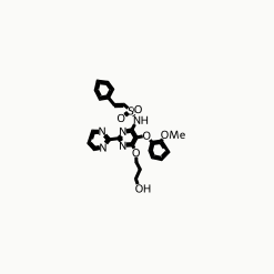 COc1ccccc1Oc1c(NS(=O)(=O)C=Cc2ccccc2)nc(-c2ncccn2)nc1OCCCO